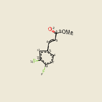 COC(=O)/C=C/c1ccc(F)c(F)c1